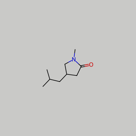 CC(C)CC1CC(=O)N(C)C1